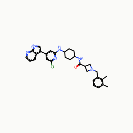 Cc1cccc(CN2CC(C(=O)NC3CCC(Nc4cc(-c5c[nH]c6ncccc56)cc(Cl)n4)CC3)C2)c1C